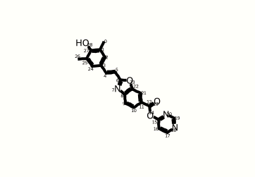 Cc1cc(/C=C/c2nc3ccc(C(=O)Oc4ccncn4)cc3o2)cc(C)c1O